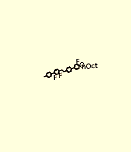 CCCCCCCCOc1ccc(-c2ccc(CCc3ccc(-c4ccc(C)cc4)c(F)c3F)cc2)cc1F